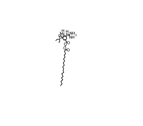 CCCCCCCCCCCCCCCCCCCC(=O)OCOC(=O)C1=C[C@@H](OC(CC)CC)[C@H](NC(C)=O)[C@@H](NC(=N)N)C1